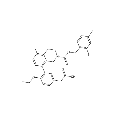 CCOc1ccc(CC(=O)O)cc1-c1ccc(F)c2c1CN(C(=O)OCc1ccc(F)cc1F)CC2